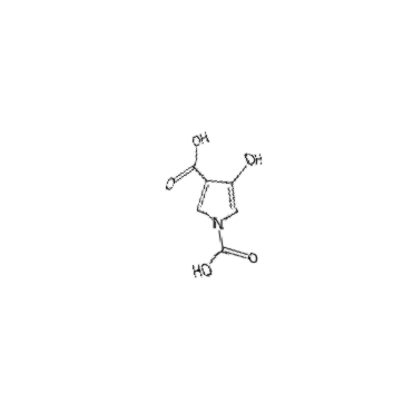 O=C(O)c1cn(C(=O)O)cc1O